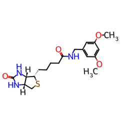 COc1cc(CNC(=O)CCCC[C@@H]2SC[C@@H]3NC(=O)N[C@@H]32)cc(OC)c1